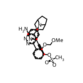 COCOc1ccccc1-c1cc(N2CC3CCC(C2)N3c2ccnc(C#CCOS(C)(=O)=O)c2)c(N)nn1